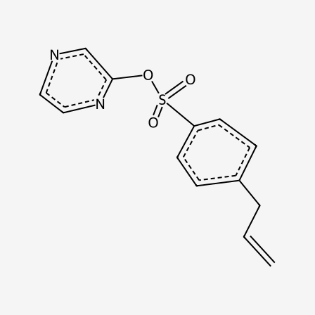 C=CCc1ccc(S(=O)(=O)Oc2cnccn2)cc1